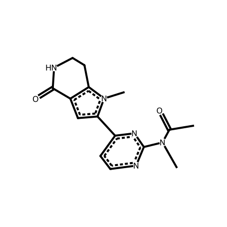 CC(=O)N(C)c1nccc(-c2cc3c(n2C)CCNC3=O)n1